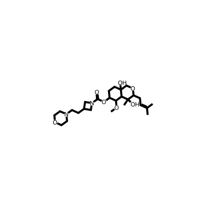 COC1C(OC(=O)N2CC(CCN3CCOCC3)C2)CCC2(O)COC(CC=C(C)C)C(C)(O)C12